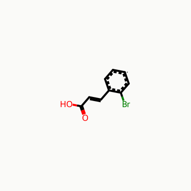 O=C(O)C=Cc1cc[c]cc1Br